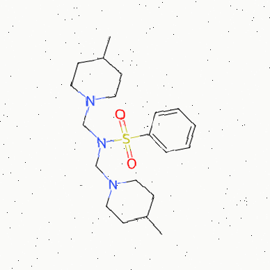 CC1CCN(CN(CN2CCC(C)CC2)S(=O)(=O)c2ccccc2)CC1